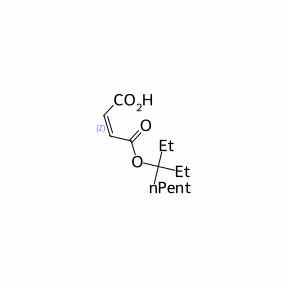 CCCCCC(CC)(CC)OC(=O)/C=C\C(=O)O